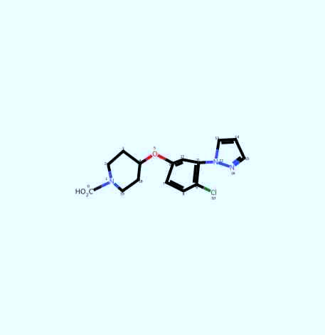 O=C(O)N1CCC(Oc2ccc(Cl)c(-n3cccn3)c2)CC1